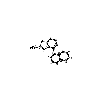 CCCC1=Cc2c(cccc2-c2cccc3ccccc23)C1